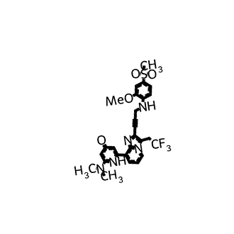 COc1cc(S(C)(=O)=O)ccc1NCC#Cc1nc2c(-c3cc(=O)cc(N(C)C)[nH]3)cccn2c1CC(F)(F)F